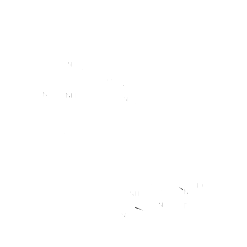 CCN(CC)[C@@H](C(=O)N1CCC[C@H]1c1ncc(-c2ccc(-c3ccc(-c4cnc([C@@H]5CCCN5C(=O)C[C@H](Cc5cccs5)OC(N)=O)[nH]4)cc3)cc2)[nH]1)c1ccccc1